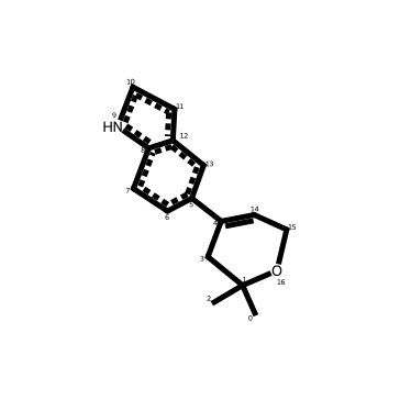 CC1(C)CC(c2ccc3[nH]ccc3c2)=CCO1